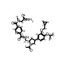 CC(=O)N1CC(c2ccc(OC(F)F)c(OCC3CC3)c2)C[C@@H]1CNC(=O)c1ccc(C(=O)N(C)CC(N)=O)cn1